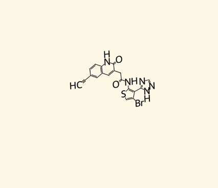 C#Cc1ccc2[nH]c(=O)c(CC(=O)Nc3scc(Br)c3-c3ncn[nH]3)cc2c1